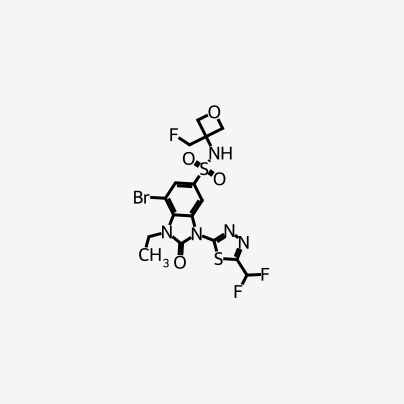 CCn1c(=O)n(-c2nnc(C(F)F)s2)c2cc(S(=O)(=O)NC3(CF)COC3)cc(Br)c21